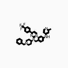 Cc1cc(Nc2ccc(CN(c3nccc(-c4ccc(C(F)(F)F)cc4)n3)C3CCN(Cc4ccccc4)CC3)cc2)ccn1